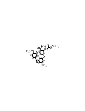 CCOC(=O)CNc1nc(Oc2cccc(C)c2)nc(Oc2cc(C#N)ccc2OC)c1[N+](=O)[O-]